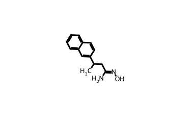 CC(C/C(N)=N/O)c1ccc2ccccc2c1